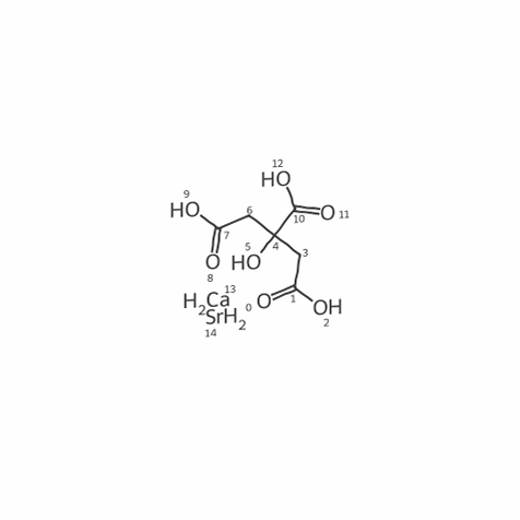 O=C(O)CC(O)(CC(=O)O)C(=O)O.[CaH2].[SrH2]